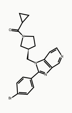 O=C(C1CC1)N1CC[C@@H](Cn2c(-c3ccc(Br)cc3)nc3cnccc32)C1